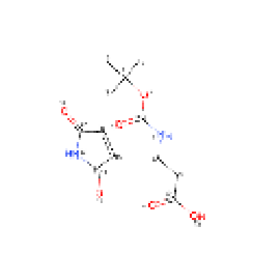 CC(C)(C)OC(=O)NCCC(=O)O.O=C1C=CC(=O)N1